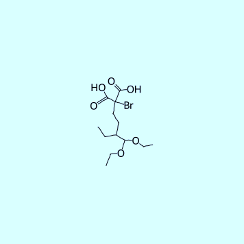 CCOC(OCC)C(CC)CCC(Br)(C(=O)O)C(=O)O